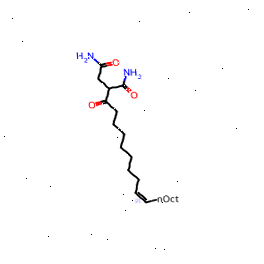 CCCCCCCC/C=C\CCCCCCCC(=O)C(CC(N)=O)C(N)=O